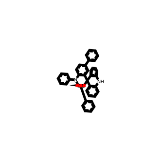 c1ccc(-c2ccc3c(c2)C2(c4ccccc4Nc4ccccc42)c2cc(-c4ccccc4)ccc2N3c2ccccc2)cc1